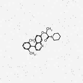 Cc1cccc(C)c1-c1ccnc2cc(OC(C)C(=O)N3CCCCC3)ccc12